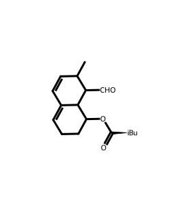 CC[C@H](C)C(=O)OC1CCC=C2C=CC(C)C(C=O)C21